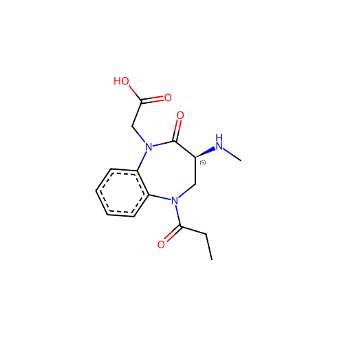 CCC(=O)N1C[C@H](NC)C(=O)N(CC(=O)O)c2ccccc21